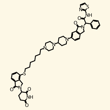 O=C1CCC(N2Cc3c(SCCCCCCCN4CCN(C5CCN(c6ccc7c(c6)C(=O)N(C(C(=O)Nc6nccs6)c6ccccc6)C7)CC5)CC4)cccc3C2=O)C(=O)N1